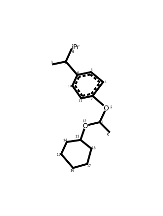 CC(Oc1ccc(C(C)C(C)C)cc1)OC1CCCCC1